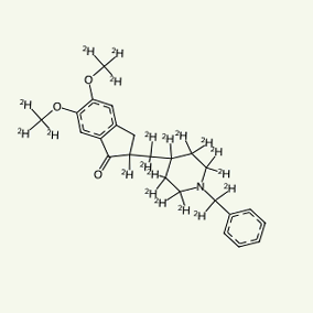 [2H]C([2H])([2H])Oc1cc2c(cc1OC([2H])([2H])[2H])C(=O)C([2H])(C([2H])([2H])C1([2H])C([2H])([2H])C([2H])([2H])N(C([2H])([2H])c3ccccc3)C([2H])([2H])C1([2H])[2H])C2